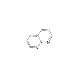 C1=CC=C2C=CC=NN2N=1